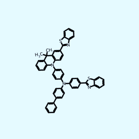 CC1(C)c2ccccc2N(c2ccc(N(c3ccc(-c4ccccc4)cc3)c3ccc(-c4nc5ccccc5s4)cc3)cc2)c2ccc(-c3nc4ccccc4s3)cc21